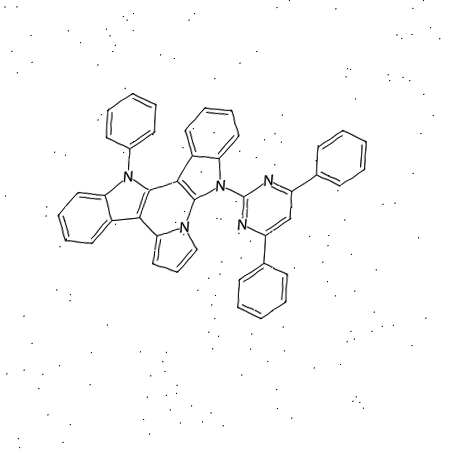 c1ccc(-c2cc(-c3ccccc3)nc(-n3c4ccccc4c4c5c(c6ccccc6n5-c5ccccc5)c5cccn5c43)n2)cc1